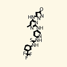 Cc1cc(NC2=CC(=O)N=N2)nc(Nc2ccc(NC(=S)Nc3cccc(C(F)(F)F)c3)nc2)n1